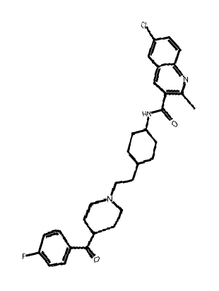 Cc1nc2ccc(Cl)cc2cc1C(=O)NC1CCC(CCN2CCC(C(=O)c3ccc(F)cc3)CC2)CC1